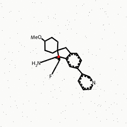 COC1CCC2(CC1)Cc1ccc(-c3cccnc3)cc1C21C=C(F)C(N)=N1